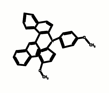 COc1ccc(N(c2ccc(OC)cc2)c2ccc3ccccc3c2-c2ccc3ccccc3c2)cc1